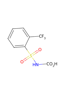 O=C(O)NS(=O)(=O)c1ccccc1C(F)(F)F